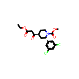 CCOC(=O)CC(=O)[C@H]1CCN(C(=O)OC)[C@H](c2cc(Cl)cc(Cl)c2)C1